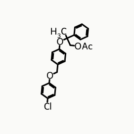 CC(=O)OCC(C)(Oc1ccc(COc2ccc(Cl)cc2)cc1)c1ccccc1